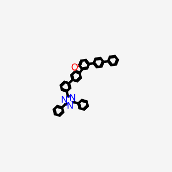 c1ccc(-c2ccc(-c3ccc4oc5cc(-c6cccc(-c7nc(-c8ccccc8)nc(-c8ccccc8)n7)c6)ccc5c4c3)cc2)cc1